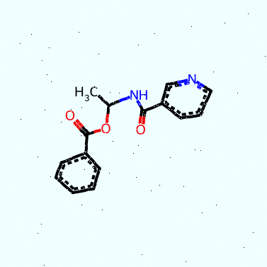 CC(NC(=O)c1cccnc1)OC(=O)c1ccccc1